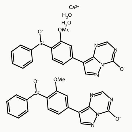 COc1cc(-c2cnn3c([O-])ncnc23)ccc1[S+]([O-])c1ccccc1.COc1cc(-c2cnn3c([O-])ncnc23)ccc1[S+]([O-])c1ccccc1.O.O.[Ca+2]